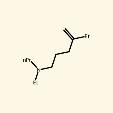 C=C(CC)CCCN(CC)CCC